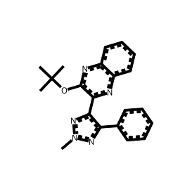 Cn1nc(-c2ccccc2)c(-c2nc3ccccc3nc2OC(C)(C)C)n1